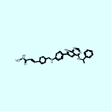 CC(Nc1ncnc2[nH]c(-c3ccc(NCc4ccc(C=CC(=O)NO)cc4)cc3)cc12)c1ccccc1